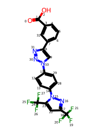 O=C(O)c1cccc(-c2cn(-c3ccc(-n4nc(C(F)(F)F)cc4C(F)(F)F)cc3)nn2)c1